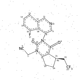 N#CCn1c2c(c(=O)n(-c3cncc4cccc(F)c34)c1=O)[C@@H](CC(F)(F)F)CC2